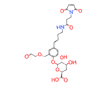 O=CCOCc1cc(CCCCNC(=O)CCN2C(=O)C=CC2=O)ccc1O[C@@H]1O[C@H](C(=O)O)C[C@H](O)[C@H]1O